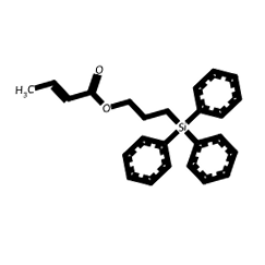 CC=CC(=O)OCCC[Si](c1ccccc1)(c1ccccc1)c1ccccc1